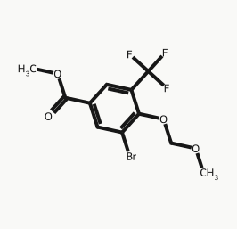 COCOc1c(Br)cc(C(=O)OC)cc1C(F)(F)F